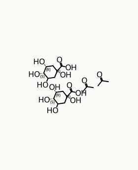 CC(C)=O.CC(C)=O.O=C(O)[C@@]1(O)CC(O)[C@H](O)[C@H](O)C1.O=C(O)[C@@]1(O)CC(O)[C@H](O)[C@H](O)C1